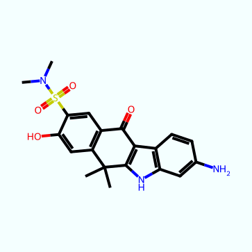 CN(C)S(=O)(=O)c1cc2c(cc1O)C(C)(C)c1[nH]c3cc(N)ccc3c1C2=O